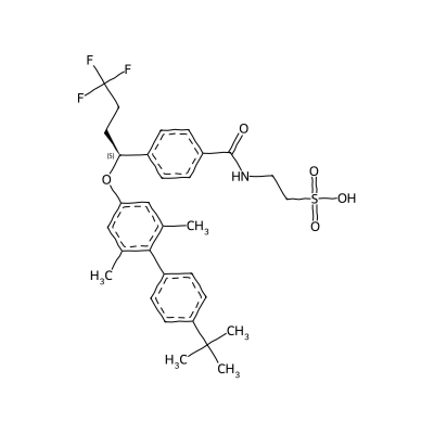 Cc1cc(O[C@@H](CCC(F)(F)F)c2ccc(C(=O)NCCS(=O)(=O)O)cc2)cc(C)c1-c1ccc(C(C)(C)C)cc1